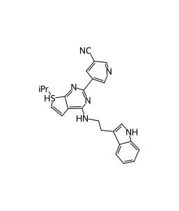 CC(C)[SH]1C=Cc2c(NCCc3c[nH]c4ccccc34)nc(-c3cncc(C#N)c3)nc21